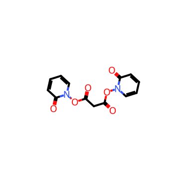 O=C(CC(=O)On1ccccc1=O)On1ccccc1=O